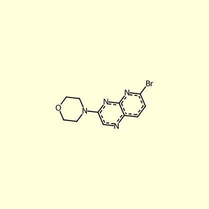 Brc1ccc2ncc(N3CCOCC3)nc2n1